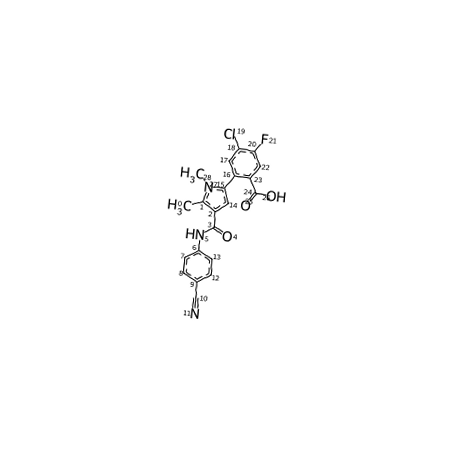 Cc1c(C(=O)Nc2ccc(C#N)cc2)cc(-c2cc(Cl)c(F)cc2C(=O)O)n1C